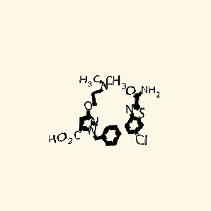 CN(C)CCCOc1cc(C(=O)O)n(Cc2ccccc2)n1.NC(=O)c1nc2ccc(Cl)cc2s1